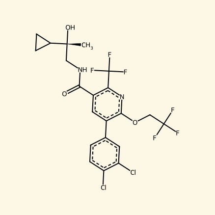 C[C@@](O)(CNC(=O)c1cc(-c2ccc(Cl)c(Cl)c2)c(OCC(F)(F)F)nc1C(F)(F)F)C1CC1